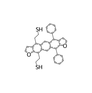 SCCc1c2cc3c(-c4ccccc4)c4ccoc4c(-c4ccccc4)c3cc2c(CCS)c2occc12